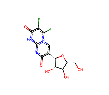 O=c1nc2[nH]c(=O)c(F)c(F)n2cc1[C@@H]1O[C@H](CO)C(O)[C@@H]1O